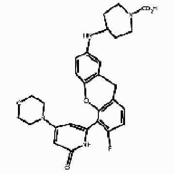 O=C(O)N1CCC(Nc2ccc3c(c2)Cc2ccc(F)c(-c4cc(N5CCOCC5)cc(=O)[nH]4)c2O3)CC1